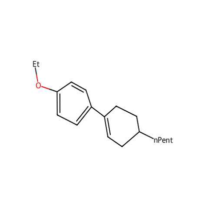 CCCCCC1CC=C(c2ccc(OCC)cc2)CC1